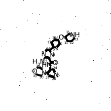 Nc1ncc(-c2ccc(O[C@H]3CCCNC3)cc2)nc1C(=O)Nc1cnccc1N1CCOCC1